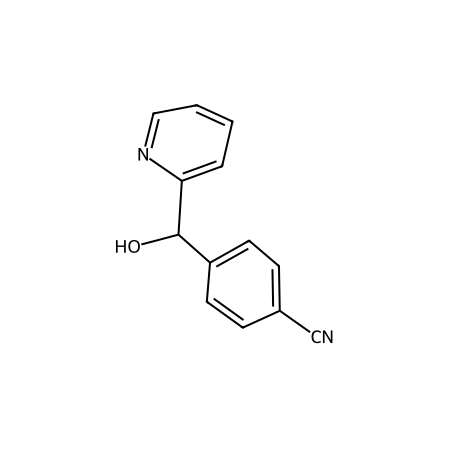 N#Cc1ccc(C(O)c2ccccn2)cc1